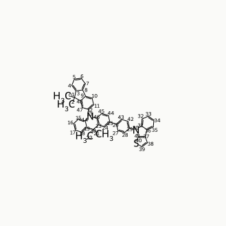 CC1(C)c2ccccc2-c2ccc(N3c4ccccc4C(C)(C)c4cc(-c5ccc(-n6c7ccccc7c7ccsc76)cc5)ccc43)cc21